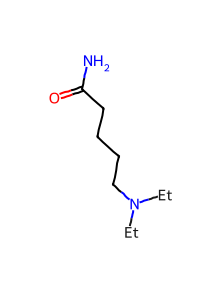 CCN(CC)CCCCC(N)=O